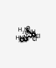 NS(=O)(=O)NCc1ccc(Cl)c(Cl)c1CCc1ccc2c(n1)NCCC2